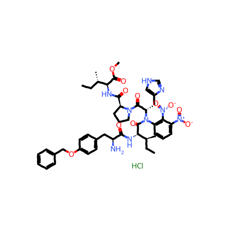 CC[C@H](C)[C@H](NC(=O)[C@@H]1CCCN1C(=O)[C@H](Cc1c[nH]cn1)N(C(=O)[C@@H](NC(=O)[C@@H](N)Cc1ccc(OCc2ccccc2)cc1)[C@@H](C)CC)c1cccc([N+](=O)[O-])c1[N+](=O)[O-])C(=O)OC.Cl